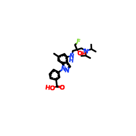 Cc1cc(NCC(O)(CF)CN(C(C)C)C(C)C)c2cnn(-c3cccc(C(=O)O)c3)c2c1